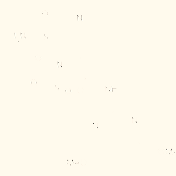 COc1cc(OC)nc(NC(=O)C2(N(C)S(C)(=O)=O)C=CC=NC2S(N)(=O)=O)n1